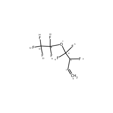 C=CC(F)C(F)(F)OC(F)(F)C(F)(F)F